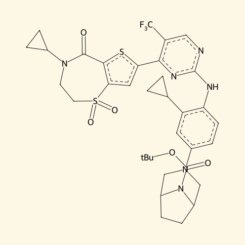 CC(C)(C)OC(=O)N1C2CCC1CN(c1ccc(Nc3ncc(C(F)(F)F)c(-c4cc5c(s4)C(=O)N(C4CC4)CCS5(=O)=O)n3)c(C3CC3)c1)C2